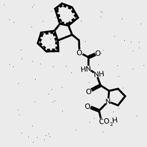 O=C(NNC(=O)C1CCCN1C(=O)C(=O)O)OCC1c2ccccc2-c2ccccc21